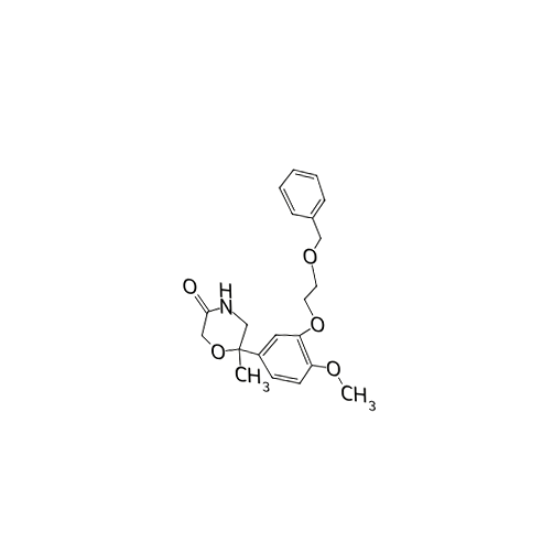 COc1ccc(C2(C)CNC(=O)CO2)cc1OCCOCc1ccccc1